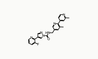 Cc1cc(-c2ncc(CNC(=O)n3cc(-c4ncccc4F)cn3)cc2C)ccn1